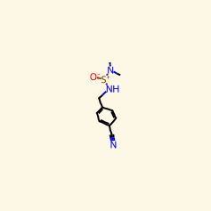 CN(C)[S+]([O-])NCc1ccc(C#N)cc1